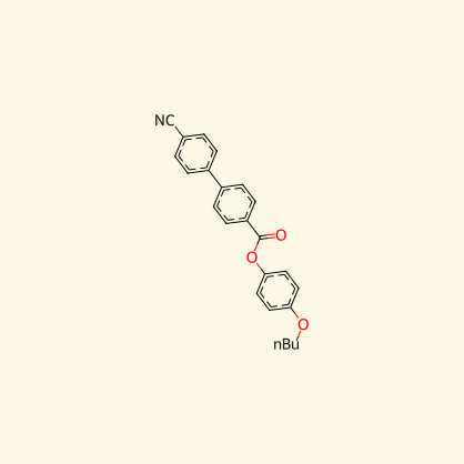 CCCCOc1ccc(OC(=O)c2ccc(-c3ccc(C#N)cc3)cc2)cc1